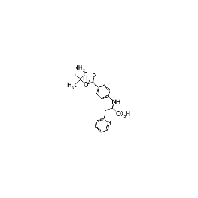 CC(C)(CN)OC(=O)c1ccc(NC(Cc2ccccn2)C(=O)O)cc1